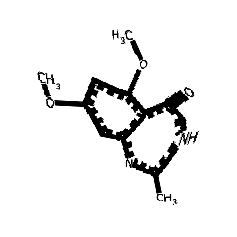 COc1cc(OC)c2c(=O)[nH]c(C)nc2c1